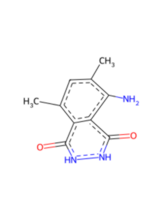 Cc1cc(C)c2c(=O)[nH][nH]c(=O)c2c1N